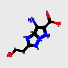 Nc1c(C(=O)O)[nH]n2nc(CCO)nc12